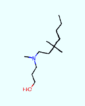 CCCCC(C)(C)CCN(C)CCCO